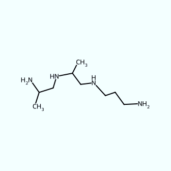 CC(N)CNC(C)CNCCCN